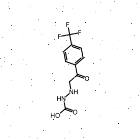 O=C(O)NNCC(=O)c1ccc(C(F)(F)F)cc1